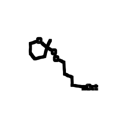 CCCCCCCCCCCCOOC1(C)CCCCO1